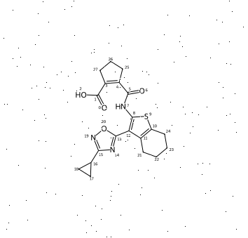 O=C(O)C1=C(C(=O)Nc2sc3c(c2-c2nc(C4CC4)no2)CCCC3)CCC1